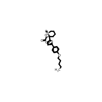 CCCCCOc1ccc(-c2ccc([C@@]3(CC(=O)O)CCCCS3(=O)=O)s2)cc1